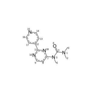 CN(C)C(=O)N(C)c1ccnc(-c2ccncc2)n1